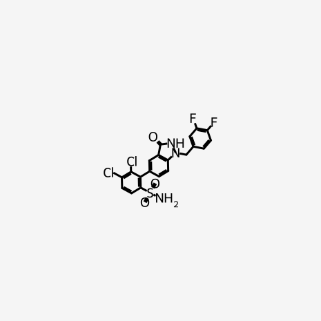 NS(=O)(=O)c1ccc(Cl)c(Cl)c1-c1ccc2c(c1)c(=O)[nH]n2Cc1ccc(F)c(F)c1